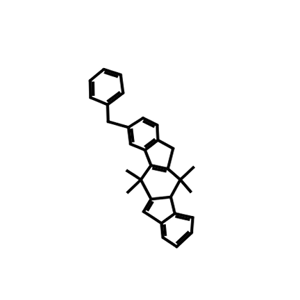 CC1(C)C2=Cc3ccccc3C2C(C)(C)C2=C1c1cc(Cc3ccccc3)ccc1C2